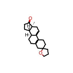 C[C@]12CC=C3C4=C(CC[C@H]3[C@@H]1CCC2=O)CC1(CCCO1)CC4